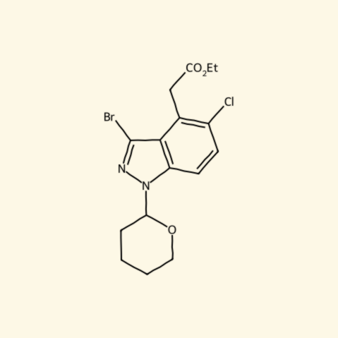 CCOC(=O)Cc1c(Cl)ccc2c1c(Br)nn2C1CCCCO1